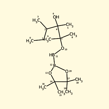 CCC(C)C(C)(O)C(C)(C)OBB1OC(C)(C)C(C)(C)O1